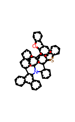 c1cc(-c2cccc3c2oc2ccccc23)cc(N(c2ccccc2-c2cccc3c2sc2ccccc23)c2c(-c3ccc4ccccc4c3)c3ccccc3c3ccccc23)c1